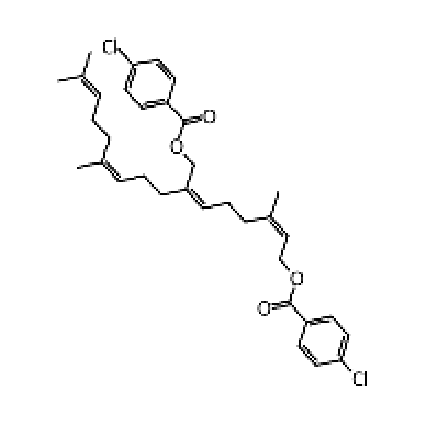 CC(C)=CCCC(C)=CCCC(=CCCC(C)=CCOC(=O)c1ccc(Cl)cc1)COC(=O)c1ccc(Cl)cc1